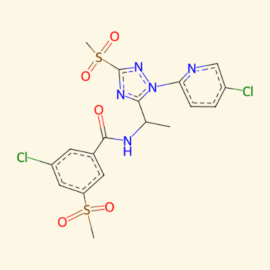 CC(NC(=O)c1cc(Cl)cc(S(C)(=O)=O)c1)c1nc(S(C)(=O)=O)nn1-c1ccc(Cl)cn1